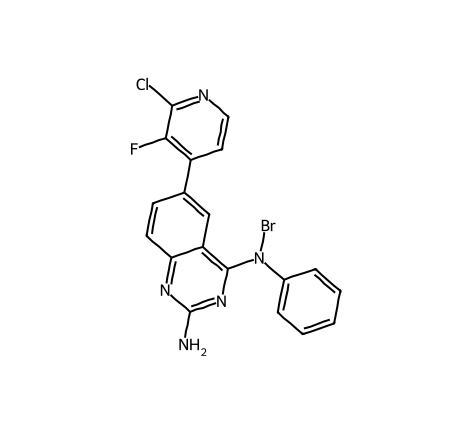 Nc1nc(N(Br)c2ccccc2)c2cc(-c3ccnc(Cl)c3F)ccc2n1